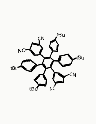 CC(C)(C)c1ccc(-c2c(-c3ccc(C(C)(C)C)cc3)c(-c3cc(C#N)cc(C#N)c3)c(-c3ccc(C(C)(C)C)cc3)c(-c3ccc(C(C)(C)C)cc3)c2-c2cc(C#N)cc(C#N)c2)cc1